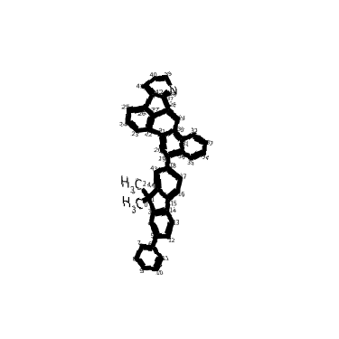 CC1(C)c2cc(-c3ccccc3)ccc2-c2ccc(-c3cc4c5cccc6c5c(cc4c4ccccc34)-c3ncccc3-6)cc21